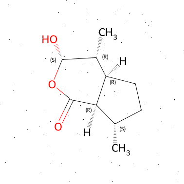 C[C@@H]1[C@H]2CC[C@H](C)[C@H]2C(=O)O[C@@H]1O